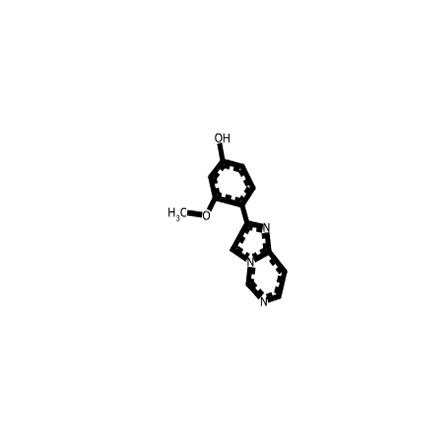 COc1cc(O)ccc1-c1cn2cnccc2n1